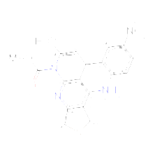 COC(=O)N1C(C)=CC(c2cccc([N+](=O)[O-])c2)c2c1nc1c(c2N)CSC1